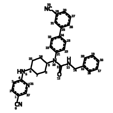 N#Cc1ccc(NC2CCC(N(C(=O)NCc3ccccc3)c3ccc(-c4cccc(C#N)c4)cc3)CC2)nc1